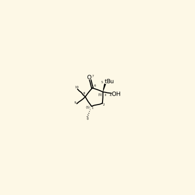 C[C@H]1C[C@](O)(C(C)(C)C)C(=O)C1(C)C